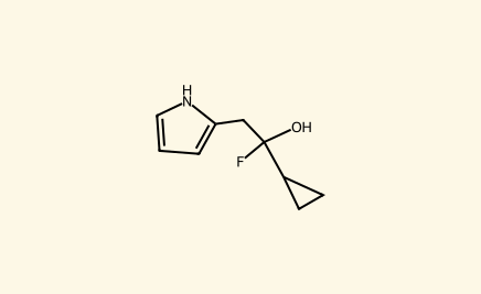 OC(F)(Cc1ccc[nH]1)C1CC1